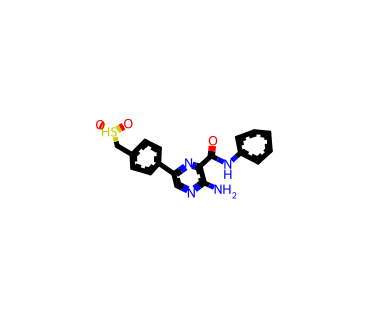 Nc1ncc(-c2ccc(C[SH](=O)=O)cc2)nc1C(=O)Nc1ccccc1